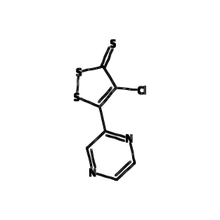 S=c1ssc(-c2cnccn2)c1Cl